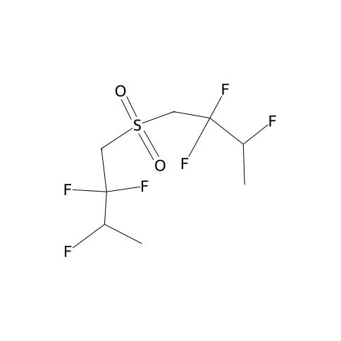 CC(F)C(F)(F)CS(=O)(=O)CC(F)(F)C(C)F